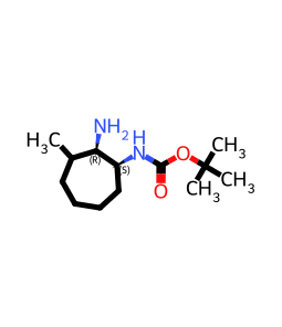 CC1CCCC[C@H](NC(=O)OC(C)(C)C)[C@@H]1N